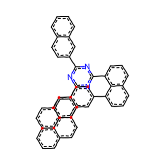 c1ccc2cc(-c3nc(-c4ccc5ccccc5c4)nc(-c4cccc5cccc(-c6ccc7ccc8c9ccccc9ccc8c7c6)c45)n3)ccc2c1